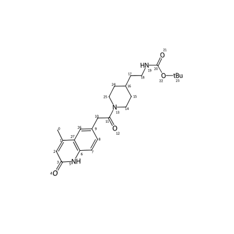 Cc1cc(=O)[nH]c2ccc(CC(=O)N3CCC(CCNC(=O)OC(C)(C)C)CC3)cc12